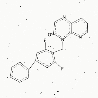 O=c1cnc2cccnc2n1Cc1c(F)cc(-c2ccccc2)cc1F